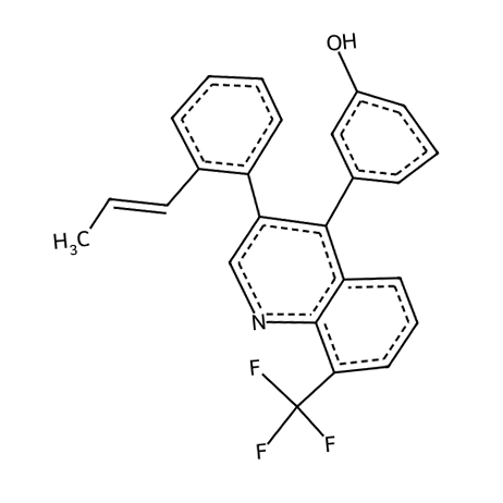 CC=Cc1ccccc1-c1cnc2c(C(F)(F)F)cccc2c1-c1cccc(O)c1